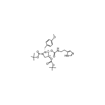 COc1ccc(C[C@@H]2[C@H](OC(=O)NCCc3cnc[nH]3)[C@@H](OC(=O)OC(C)(C)C)CN2C(=O)OC(C)(C)C)cc1